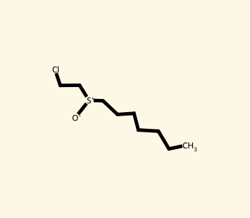 CCCCCCC[S+]([O-])CCCl